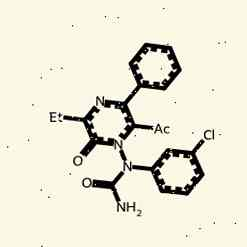 CCc1nc(-c2ccccc2)c(C(C)=O)n(N(C(N)=O)c2cccc(Cl)c2)c1=O